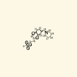 CS(=O)(=O)OCCC1COc2ccc(CN3CCCCC3)cc2O1